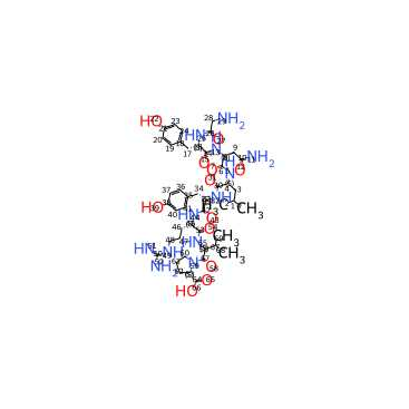 CC(C)C[C@H](NC(=O)[C@H](CC(N)=O)NC(=O)[C@H](Cc1ccc(O)cc1)NC(=O)CN)C(=O)N[C@@H](Cc1ccc(O)cc1)C(=O)N[C@@H](CCCNC(=N)N)C(=O)N[C@H](C(=O)N1CCC[C@H]1C(=O)O)C(C)C